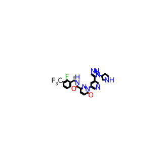 C[C@@H](NC(=O)c1ccc(=O)n(-c2cncc(-c3cnnn3[C@H]3CCNC3)c2)n1)c1cccc(C(F)(F)F)c1F